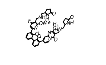 COc1nc(-c2cccc(-c3cccc(-c4ccn5c(=O)c(CNCC6CCC(=O)N6)c(C)nc5c4)c3Cl)c2Cl)cc(F)c1CNCC1CCC(=O)N1